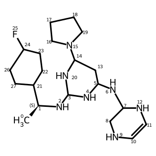 C[C@H](NC1NC(NC2CNC=CN2)CC(N2CCCC2)N1)C1CCC(F)CC1